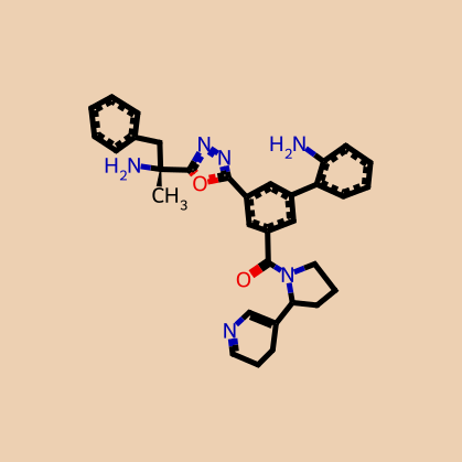 C[C@@](N)(Cc1ccccc1)c1nnc(-c2cc(C(=O)N3CCCC3C3=CN=CCC3)cc(-c3ccccc3N)c2)o1